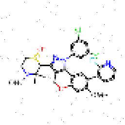 COc1cc2c(cc1-c1cccnc1F)-c1c(c(C3[S+]([O-])CCN(C=O)C3(C)C)nn1-c1cc(Cl)cc(Cl)c1)CO2